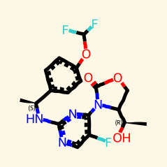 C[C@H](Nc1ncc(F)c(N2C(=O)OCC2[C@@H](C)O)n1)c1ccc(OC(F)F)cc1